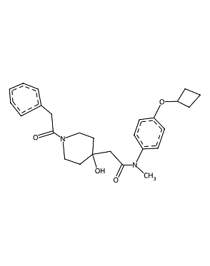 CN(C(=O)CC1(O)CCN(C(=O)Cc2ccccc2)CC1)c1ccc(OC2CCC2)cc1